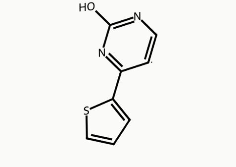 Oc1nc[c]c(-c2cccs2)n1